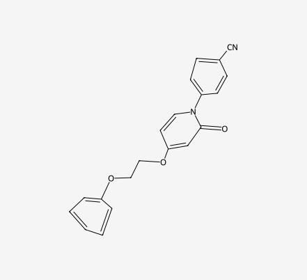 N#Cc1ccc(-n2ccc(OCCOc3ccccc3)cc2=O)cc1